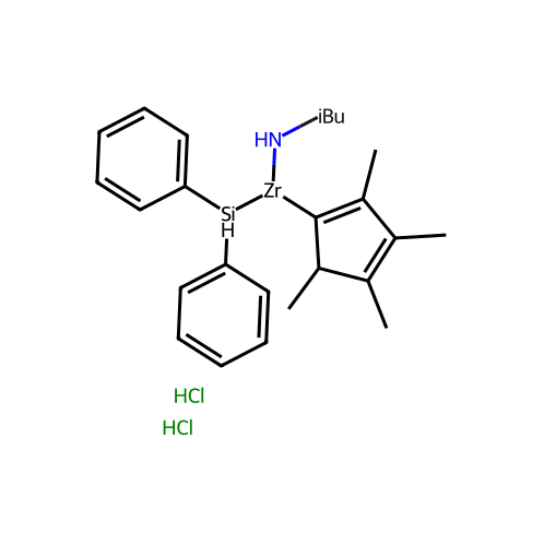 CCC(C)[NH][Zr]([C]1=C(C)C(C)=C(C)C1C)[SiH](c1ccccc1)c1ccccc1.Cl.Cl